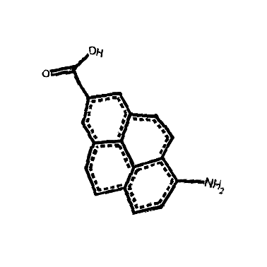 Nc1ccc2ccc3cc(C(=O)O)cc4ccc1c2c34